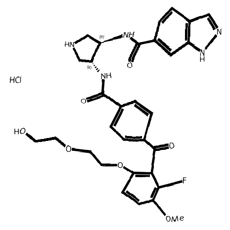 COc1ccc(OCCOCCO)c(C(=O)c2ccc(C(=O)N[C@@H]3CNC[C@H]3NC(=O)c3ccc4cn[nH]c4c3)cc2)c1F.Cl